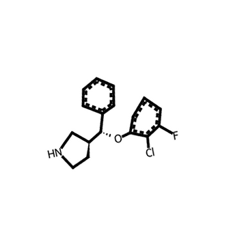 Fc1cccc(O[C@@H](c2ccccc2)[C@H]2CCNC2)c1Cl